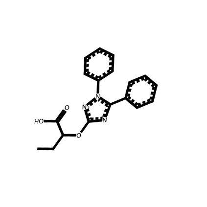 CCC(Oc1nc(-c2ccccc2)n(-c2ccccc2)n1)C(=O)O